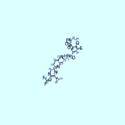 O=C(NCc1cc2nc(-c3cnc(OC(F)F)c(C4CC4)n3)ccc2cn1)c1cc(F)c2c(c1)S(=O)(=O)[C@@H](F)CCO2